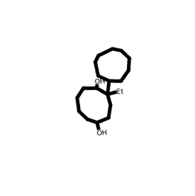 CCC1(C2CCCCCCCC2)CCC(O)CCCCC1O